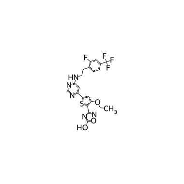 CCOc1cc(-c2cc(NCCc3ccc(C(F)(F)F)cc3F)ncn2)sc1-c1noc(O)n1